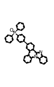 O=P(c1ccccc1)(c1ccccc1)c1ccc(-c2ccc3c(c2)c2ccccc2n2c4ccccc4nc32)cc1